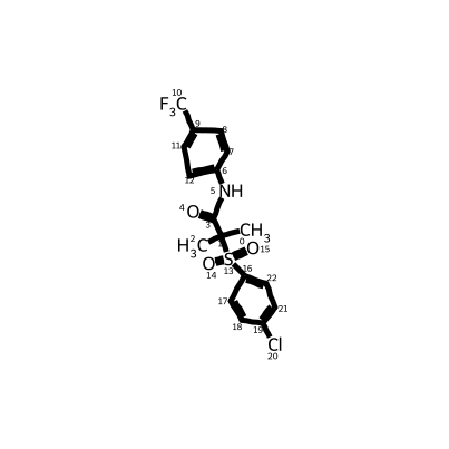 CC(C)(C(=O)Nc1ccc(C(F)(F)F)cc1)S(=O)(=O)c1ccc(Cl)cc1